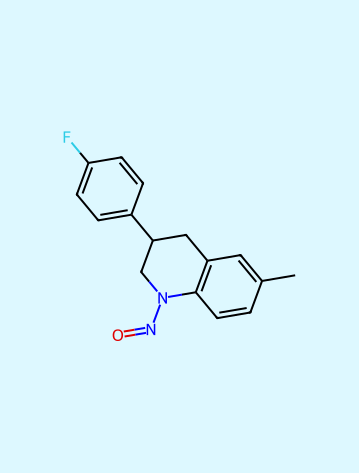 Cc1ccc2c(c1)CC(c1ccc(F)cc1)CN2N=O